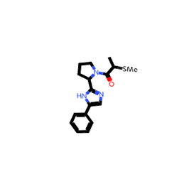 CSC(C)C(=O)N1CCCC1c1ncc(-c2ccccc2)[nH]1